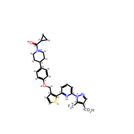 O=C(O)c1cnn(-c2cccc(-c3sccc3COc3ccc(C4CCN(C(=O)C5CC5)CC4)cc3)n2)c1C(F)(F)F